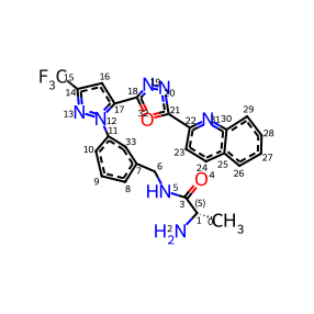 C[C@H](N)C(=O)NCc1cccc(-n2nc(C(F)(F)F)cc2-c2nnc(-c3ccc4ccccc4n3)o2)c1